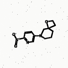 O=[N+]([O-])c1ccc(N2CCCC3(CCO3)C2)cn1